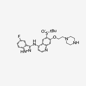 CC(C)(C)[S+]([O-])c1cc2c(Nc3n[nH]c4ccc(F)cc34)ccnc2cc1OCCN1CCNCC1